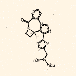 CCCCN(CCCC)Cc1nc(-c2ncn3c2[C@@H]2CCN2C(=O)c2sccc2-3)no1